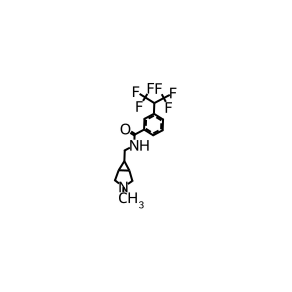 CN1CC2C(CNC(=O)c3cccc(C(C(F)(F)F)C(F)(F)F)c3)C2C1